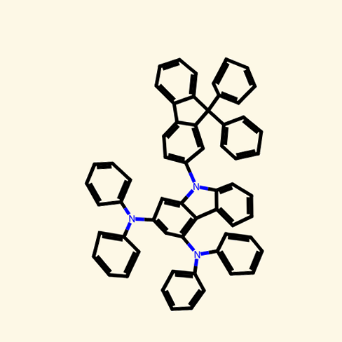 c1ccc(N(c2ccccc2)c2cc(N(c3ccccc3)c3ccccc3)c3c4ccccc4n(-c4ccc5c(c4)C(c4ccccc4)(c4ccccc4)c4ccccc4-5)c3c2)cc1